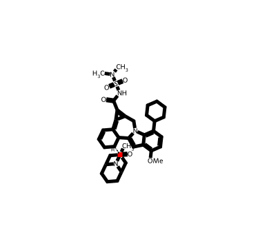 COc1ccc(C2CCCCC2)c2c1cc1n2CC2=C(C(=O)NS(=O)(=O)N(C)C)C2=C2C=CC[C@@H](C(=O)N3C4CCCC3CN(C)C4)C21